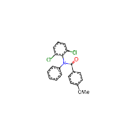 COc1ccc(C(=O)N(c2ccccc2)c2c(Cl)cccc2Cl)cc1